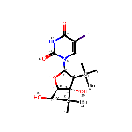 CC(C)(C)[Si](C)(C)C1[C@H](n2cc(I)c(=O)[nH]c2=O)O[C@H](CO)[C@]1(O)[Si](C)(C)C(C)(C)C